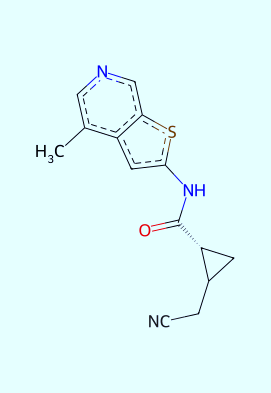 Cc1cncc2sc(NC(=O)[C@@H]3CC3CC#N)cc12